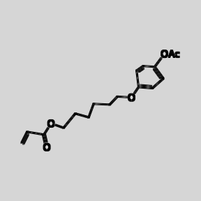 C=CC(=O)OCCCCCCOc1ccc(OC(C)=O)cc1